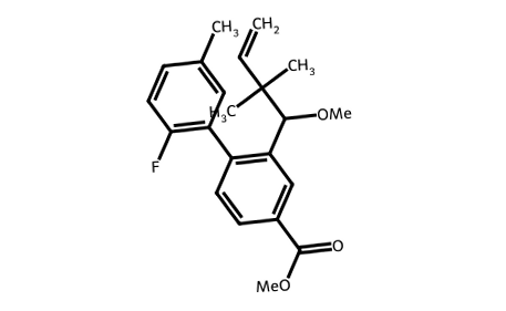 C=CC(C)(C)C(OC)c1cc(C(=O)OC)ccc1-c1cc(C)ccc1F